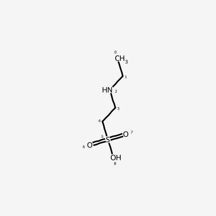 CCNCCS(=O)(=O)O